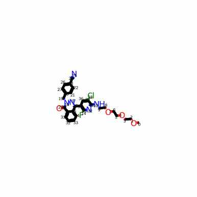 COCCOCCOCCNc1nc(F)c(-c2nn(Cc3ccc(C#N)cc3)c(=O)c3ccccc23)cc1Cl